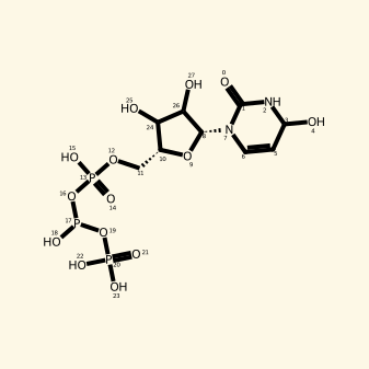 O=C1NC(O)C=CN1[C@@H]1O[C@H](COP(=O)(O)OP(O)OP(=O)(O)O)C(O)C1O